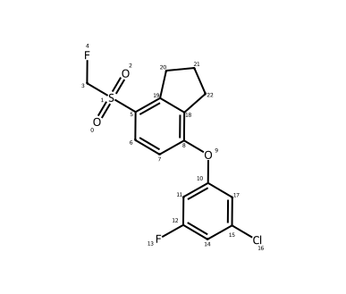 O=S(=O)(CF)c1ccc(Oc2cc(F)cc(Cl)c2)c2c1CCC2